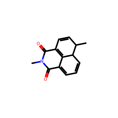 CC1C=CC2=C3C(=CC=CC31)C(=O)N(C)C2=O